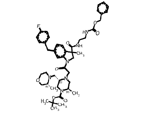 C[C@@H]1COCCN1C[C@H]1CN(C(=O)OC(C)(C)C)[C@H](C)CN1CC(=O)N1CC(C)(C(=O)NCCNC(=O)OCc2ccccc2)c2ccc(Cc3ccc(F)cc3)cc21